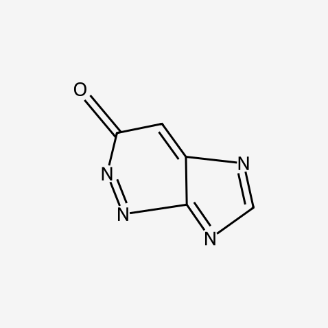 O=C1C=C2N=CN=C2N=N1